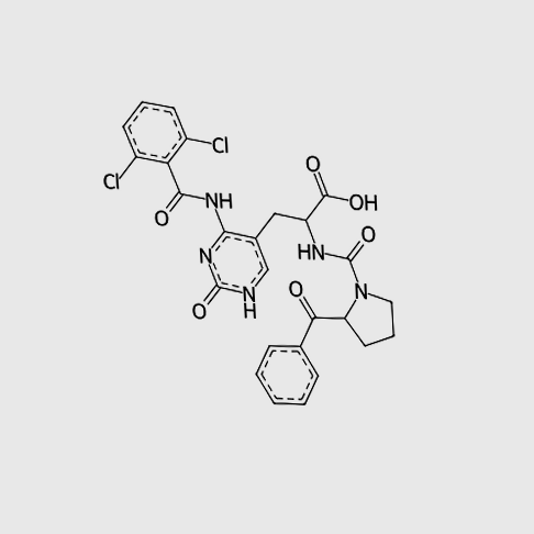 O=C(Nc1nc(=O)[nH]cc1CC(NC(=O)N1CCCC1C(=O)c1ccccc1)C(=O)O)c1c(Cl)cccc1Cl